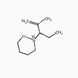 C=C(C)C(CC)[SiH]1CCCCO1